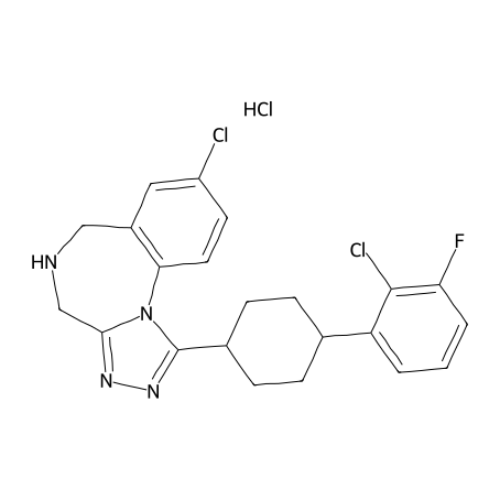 Cl.Fc1cccc(C2CCC(c3nnc4n3-c3ccc(Cl)cc3CNC4)CC2)c1Cl